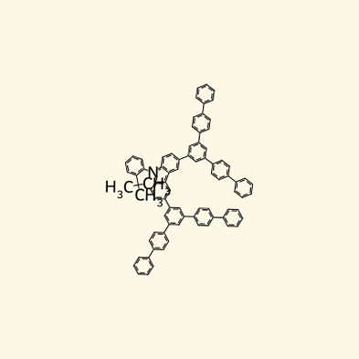 CC(C)(C)c1ccccc1-n1c2ccc(-c3cc(-c4ccc(-c5ccccc5)cc4)cc(-c4ccc(-c5ccccc5)cc4)c3)cc2c2cc(-c3cc(-c4ccc(-c5ccccc5)cc4)cc(-c4ccc(-c5ccccc5)cc4)c3)ccc21